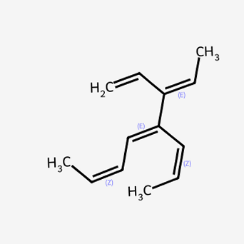 C=CC(=C\C)/C(/C=C\C)=C/C=C\C